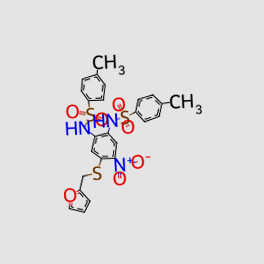 Cc1ccc(S(=O)(=O)Nc2cc(SCc3ccco3)c([N+](=O)[O-])cc2NS(=O)(=O)c2ccc(C)cc2)cc1